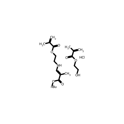 C=C(C)C(=O)OCCNC=C(C)C(=O)OCCCC.C=C(C)C(=O)OCCO.Cl